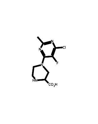 Cc1nc(Cl)c(F)c(N2CCNC(C(=O)O)C2)n1